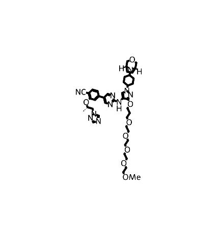 COCCOCCOCCOCCOCCCOc1nn(C2CCC(N3[C@@H]4CC[C@H]3COC4)CC2)cc1Nc1ncc(-c2ccc(C#N)c(O[C@@H](C)Cn3cncn3)c2)cn1